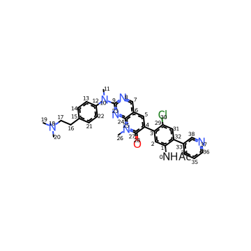 CC(=O)Nc1cc(-c2cc3cnc(N(C)c4ccc(CCN(C)C)cc4)nc3n(C)c2=O)c(Cl)cc1-c1cccnc1